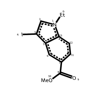 CCn1cc(I)c2cc(C(=O)OC)ccc21